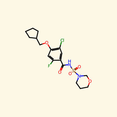 O=C(NS(=O)(=O)N1CCCOC1)c1cc(Cl)c(OCC2CCCC2)cc1F